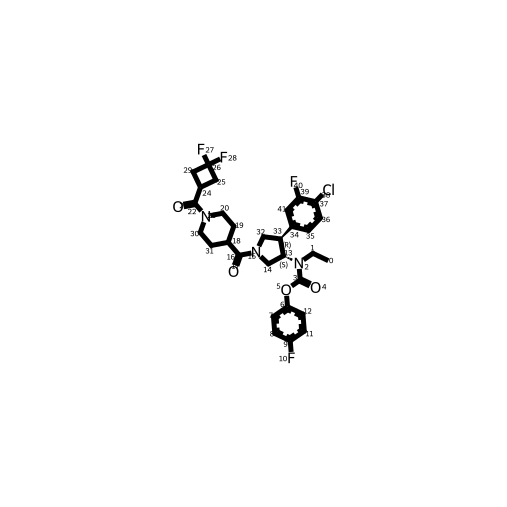 CCN(C(=O)Oc1ccc(F)cc1)[C@@H]1CN(C(=O)C2CCN(C(=O)C3CC(F)(F)C3)CC2)C[C@H]1c1ccc(Cl)c(F)c1